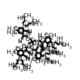 CNCCN(CCNC)C1=C(C#N)/C(=C(/C#N)C(=O)OCC(COC(=O)/C(C#N)=C2\CC(C)(C)CC(N(CCNC)CCNC)=C2C#N)(COC(=O)/C(C#N)=C2\CC(C)(C)CC(N(CCNC)CCNC)=C2C#N)COC(=O)/C(C#N)=C2\CC(C)(C)CC(N(CCNC)CCNC)=C2C#N)CC(C)(C)C1